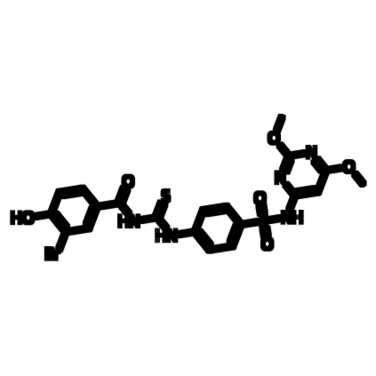 COc1cc(NS(=O)(=O)c2ccc(NC(=S)NC(=O)c3ccc(O)c(Br)c3)cc2)nc(OC)n1